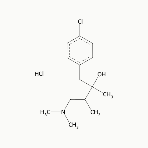 CC(CN(C)C)C(C)(O)Cc1ccc(Cl)cc1.Cl